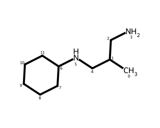 CC(CN)CNC1CCCCC1